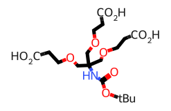 CC(C)(C)OC(=O)NC(COCCC(=O)O)(COCCC(=O)O)COCCC(=O)O